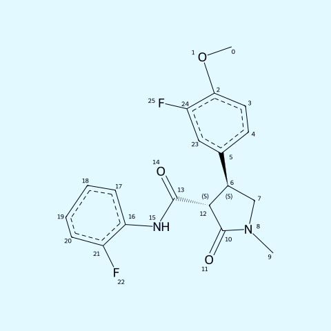 COc1ccc([C@H]2CN(C)C(=O)[C@@H]2C(=O)Nc2ccccc2F)cc1F